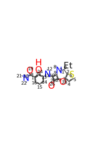 CC[C@H](c1cccs1)N(C)c1c(N(C)c2cccc(C(=O)N(C)C)c2O)c(=O)c1=O